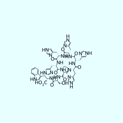 N[C@@H](Cc1c[nH]cn1)C(=O)N[C@@H](Cc1c[nH]cn1)C(=O)N[C@@H](Cc1c[nH]cn1)C(=O)N[C@@H](Cc1c[nH]cn1)C(=O)N[C@@H](Cc1c[nH]cn1)C(=O)N1CCC[C@H]1C(=O)N[C@@H](CO)C(=O)N[C@@H](Cc1c[nH]c2ccccc12)C(=O)O